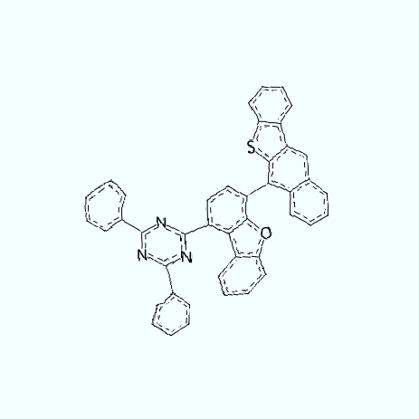 c1ccc(-c2nc(-c3ccccc3)nc(-c3ccc(-c4c5ccccc5cc5c4sc4ccccc45)c4oc5ccccc5c34)n2)cc1